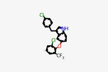 FC(F)(F)c1c[c]cc(Cl)c1Oc1ccc2[nH]cc(Cc3ccc(Cl)cc3)c2c1